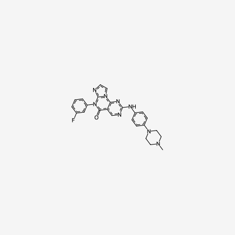 CN1CCN(c2ccc(Nc3ncc4c(=O)n(-c5cccc(F)c5)c5nccn5c4n3)cc2)CC1